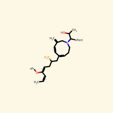 C=C1/C=C\C(CC(P)C/C=C(\C=C/C)OCCC)=C/CCN(C(CCCCC)C(C)O)C1